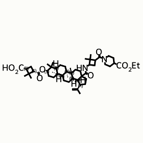 C=C(C)[C@@H]1CCC2(C(=O)NC3CC(C(=O)N4CCC(C(=O)OCC)CC4)C3(C)C)CC[C@]3(C)[C@H](CC[C@@H]4[C@@]5(C)CC[C@H](OC(=O)[C@H]6C[C@@H](C(=O)O)C6(C)C)C(C)(C)[C@@H]5CC[C@]43C)[C@@H]12